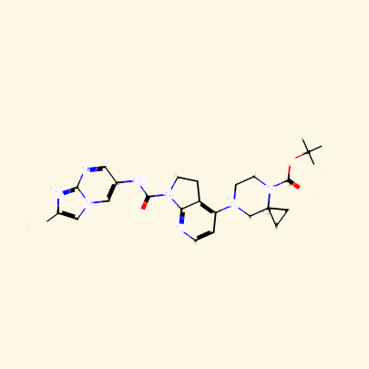 Cc1cn2cc(NC(=O)N3CCc4c(N5CCN(C(=O)OC(C)(C)C)C6(CC6)C5)ccnc43)cnc2n1